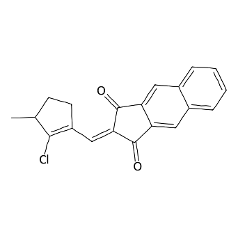 CC1CCC(C=C2C(=O)c3cc4ccccc4cc3C2=O)=C1Cl